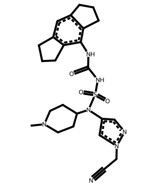 CN1CCC(N(c2cnn(CC#N)c2)S(=O)(=O)NC(=O)Nc2c3c(cc4c2CCC4)CCC3)CC1